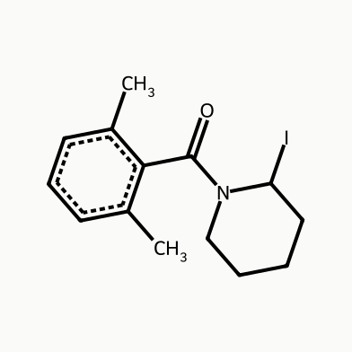 Cc1cccc(C)c1C(=O)N1CCCCC1I